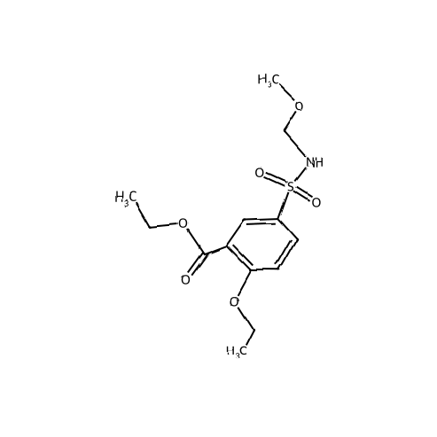 CCOC(=O)c1cc(S(=O)(=O)NCOC)ccc1OCC